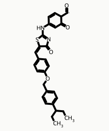 CCC(CC)c1ccc(COc2ccc(C=C3SC(NC4=CC(=O)C([C]=O)C=C4)=NC3=O)cc2)cc1